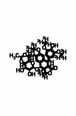 [2H]C([2H])([2H])Oc1cc([C@]2([2H])c3cc4c(cc3[C@@H](O[C@@H]3O[C@H]5[C@@H](O[C@H](C)OC5([2H])[2H])[C@H](O)[C@H]3O)[C@@H]3[C@@H]2C(=O)OC3([2H])[2H])OC([2H])([2H])O4)cc(OC([2H])([2H])[2H])c1O